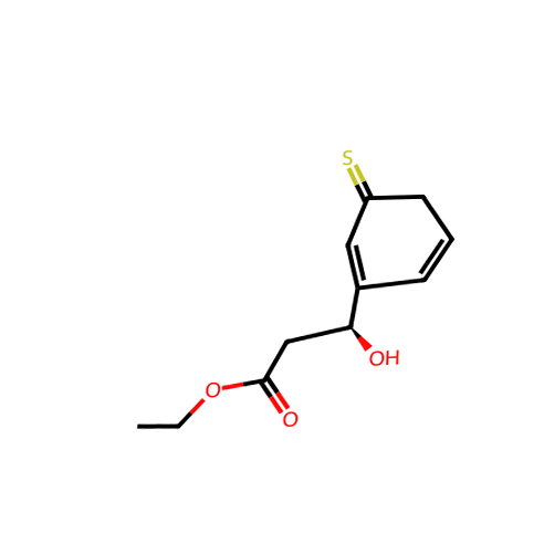 CCOC(=O)C[C@H](O)C1=CC(=S)CC=C1